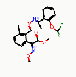 CO/N=C(/C(=O)OC)c1cccc(C)c1CO/N=C(\C)c1ccccc1OC(F)F